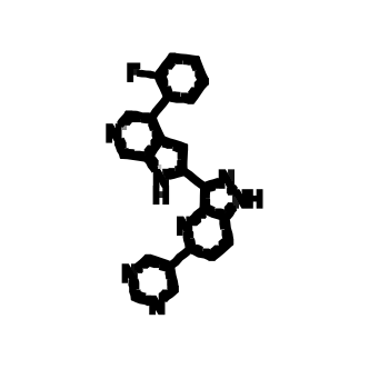 Fc1ccccc1-c1cncc2[nH]c(-c3n[nH]c4ccc(-c5cncnc5)nc34)cc12